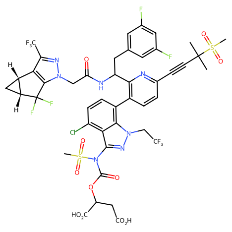 CC(C)(C#Cc1ccc(-c2ccc(Cl)c3c(N(C(=O)OC(CC(=O)O)C(=O)O)S(C)(=O)=O)nn(CC(F)(F)F)c23)c(C(Cc2cc(F)cc(F)c2)NC(=O)Cn2nc(C(F)(F)F)c3c2C(F)(F)[C@@H]2C[C@H]32)n1)S(C)(=O)=O